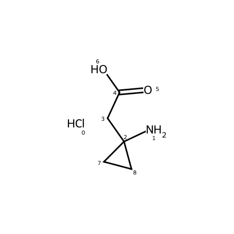 Cl.NC1(CC(=O)O)CC1